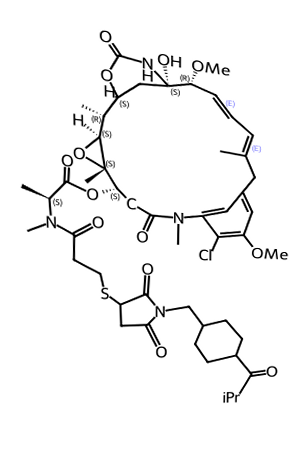 COc1cc2cc(c1Cl)N(C)C(=O)C[C@H](OC(=O)[C@H](C)N(C)C(=O)CCSC1CC(=O)N(CC3CCC(C(=O)C(C)C)CC3)C1=O)[C@]1(C)O[C@H]1[C@H](C)[C@@H]1C[C@@](O)(NC(=O)O1)[C@H](OC)/C=C/C=C(\C)C2